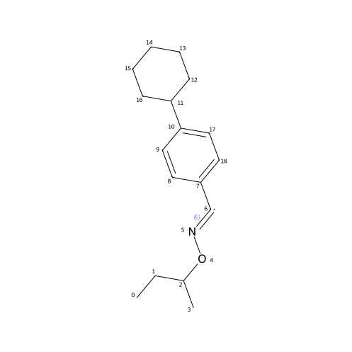 CCC(C)O/N=[C]/c1ccc(C2CCCCC2)cc1